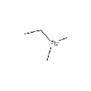 C[CH2][Pb]([CH3])[CH3]